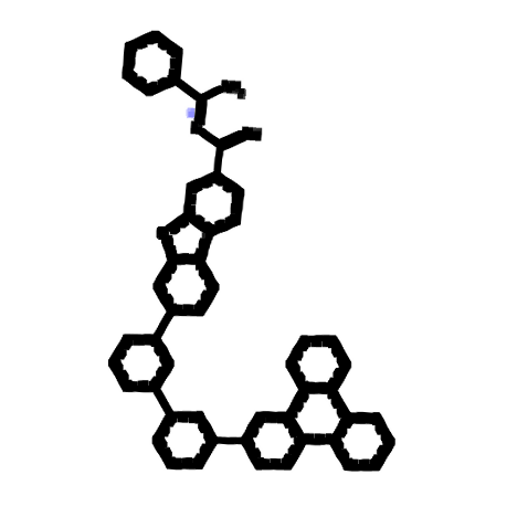 N=C(/N=C(\N)c1ccccc1)c1ccc2c(c1)oc1cc(-c3cccc(-c4cccc(-c5ccc6c7ccccc7c7ccccc7c6c5)c4)c3)ccc12